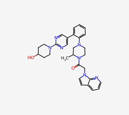 CC1CN(c2ccccc2-c2cnc(N3CCC(O)CC3)nc2)CCN1C(=O)Cn1ccc2cccnc21